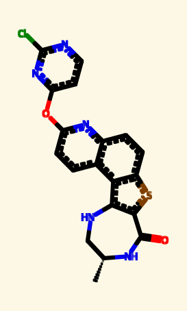 C[C@@H]1CNc2c(sc3ccc4nc(Oc5ccnc(Cl)n5)ccc4c23)C(=O)N1